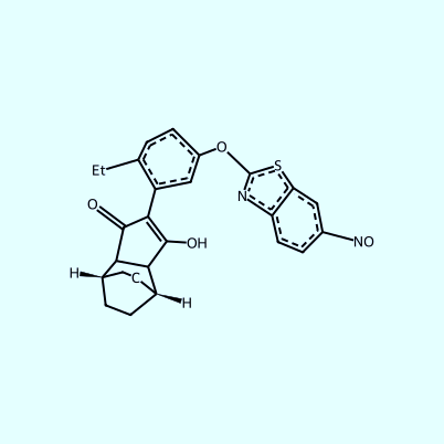 CCc1ccc(Oc2nc3ccc(N=O)cc3s2)cc1C1=C(O)C2C(C1=O)[C@H]1CC[C@@H]2CC1